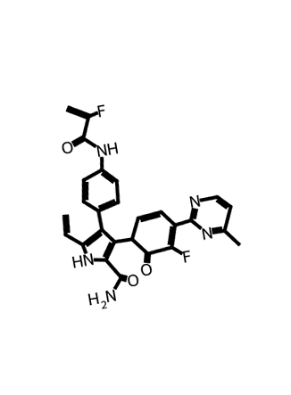 C=Cc1[nH]c(C(N)=O)c(C2C=CC(c3nccc(C)n3)=C(F)C2=O)c1-c1ccc(NC(=O)C(=C)F)cc1